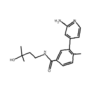 Cc1ccc(C(=O)NCCC(C)(C)O)cc1-c1ccnc(N)c1